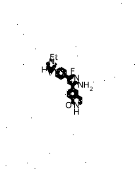 CCN1C[C@H]2C[C@@]2(c2ccc(-c3cc(-c4ccc5c(c4)CCNC5=O)c(N)nc3F)cc2)C1